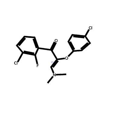 CN(C)/C=C(\Oc1ccc(Cl)cc1)C(=O)c1cccc(Cl)c1F